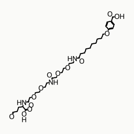 O=CCCC(NC(=O)COCCOCCNC(=O)COCCOCCNC(=O)CCCCCCCCCOc1ccc(C(=O)O)cc1)C(=O)O